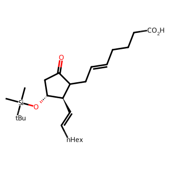 CCCCCCC=C[C@@H]1C(CC=CCCCC(=O)O)C(=O)C[C@H]1O[Si](C)(C)C(C)(C)C